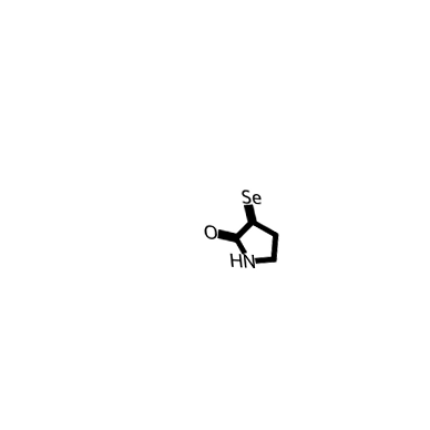 O=C1NCCC1=[Se]